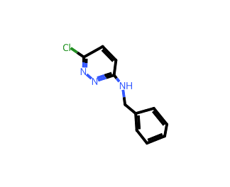 Clc1ccc(NCc2ccccc2)nn1